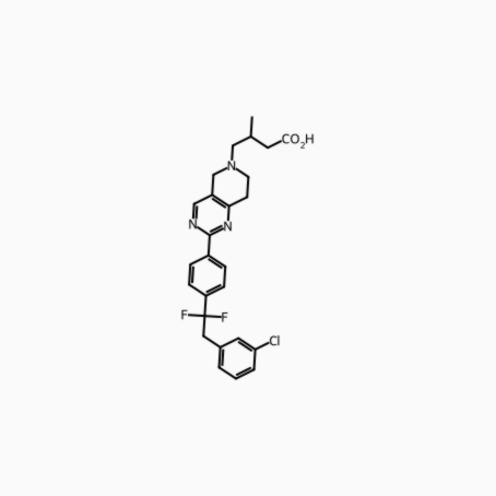 CC(CC(=O)O)CN1CCc2nc(-c3ccc(C(F)(F)Cc4cccc(Cl)c4)cc3)ncc2C1